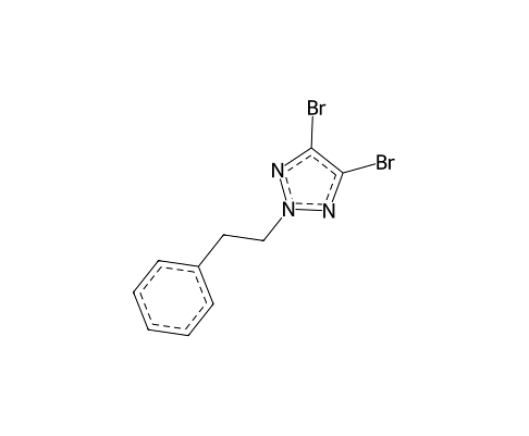 Brc1nn(CCc2ccccc2)nc1Br